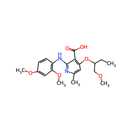 CCC(COC)Oc1cc(C)nc(Nc2ccc(OC)cc2OC)c1C(=O)O